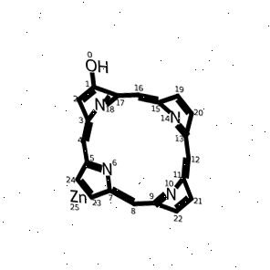 OC1=CC2=CC3=NC(=CC4=NC(=CC5=NC(=CC1=N2)C=C5)C=C4)C=C3.[Zn]